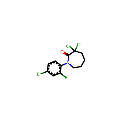 O=C1N(c2ccc(Br)cc2F)CCCCC1(Cl)Cl